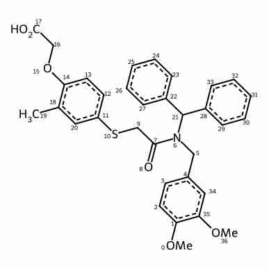 COc1ccc(CN(C(=O)CSc2ccc(OCC(=O)O)c(C)c2)C(c2ccccc2)c2ccccc2)cc1OC